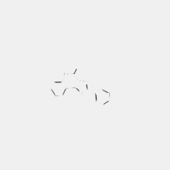 O=c1[nH]c2ccccc2c2nc(-c3cccc(Br)c3)nn12